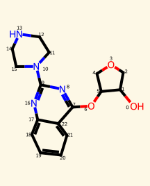 OC1COCC1Oc1nc(N2CCNCC2)nc2ccccc12